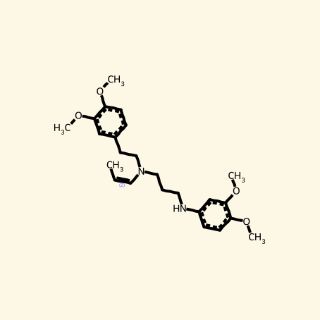 C/C=C\N(CCCNc1ccc(OC)c(OC)c1)CCc1ccc(OC)c(OC)c1